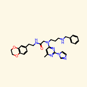 Cc1cc(N(CCCNCc2ccccc2)CC(=O)NCCc2ccc3c(c2)OCCO3)nc(-n2ccnc2)n1